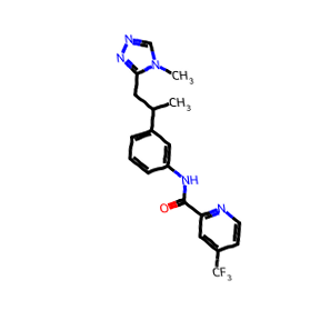 CC(Cc1nncn1C)c1cccc(NC(=O)c2cc(C(F)(F)F)ccn2)c1